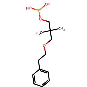 CC(C)(COCCc1ccccc1)COP(O)O